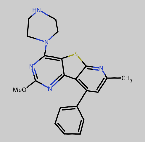 COc1nc(N2CCNCC2)c2sc3nc(C)cc(-c4ccccc4)c3c2n1